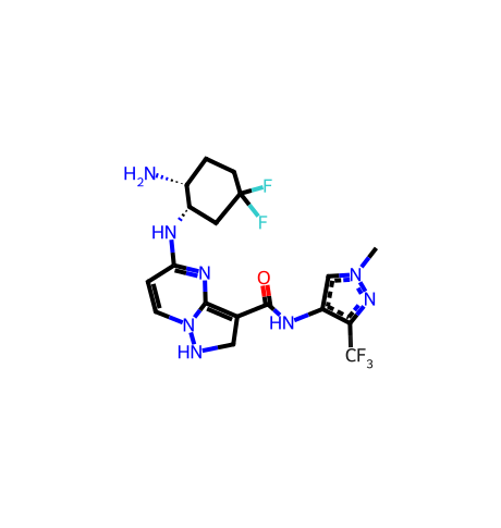 Cn1cc(NC(=O)C2=C3N=C(N[C@H]4CC(F)(F)CC[C@H]4N)C=CN3NC2)c(C(F)(F)F)n1